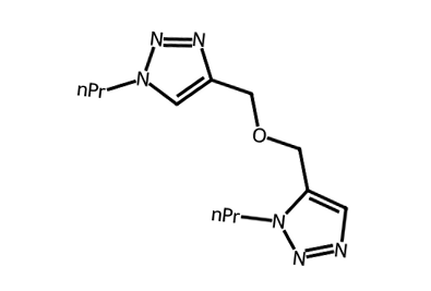 CCCn1cc(COCc2cnnn2CCC)nn1